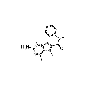 Cc1nc(N)nn2cc(C(=O)N(C)c3ccccc3)c(C)c12